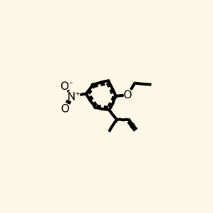 C=C[C](C)c1cc([N+](=O)[O-])ccc1OCC